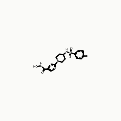 Cc1ccc(S(=O)(=O)NC2CCN(c3ncc(C(=O)NO)s3)CC2)cc1